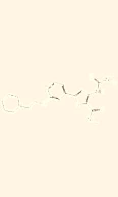 NC(=O)Nc1cc(-c2cccc(OCCN3CCCCC3)c2)sc1C(N)=O